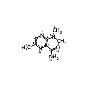 Cc1cnc(N(C)C)c(C(N)=O)n1